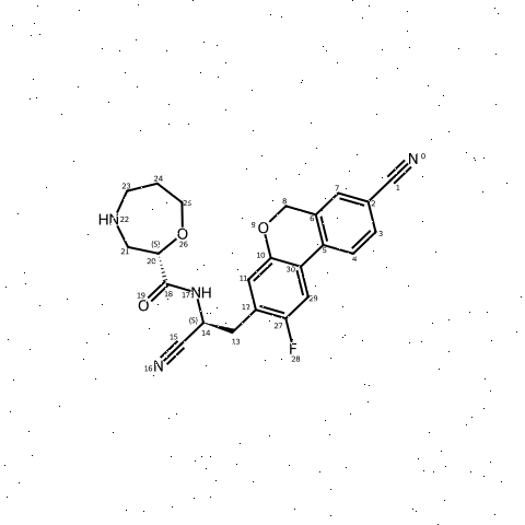 N#Cc1ccc2c(c1)COc1cc(C[C@@H](C#N)NC(=O)[C@@H]3CNCCCO3)c(F)cc1-2